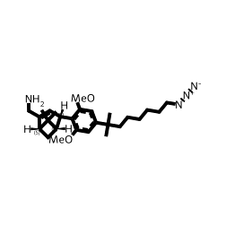 COc1cc(C(C)(C)CCCCCCN=[N+]=[N-])cc(OC)c1[C@H]1C=C(CN)[C@H]2C[C@@H]1C2(C)C